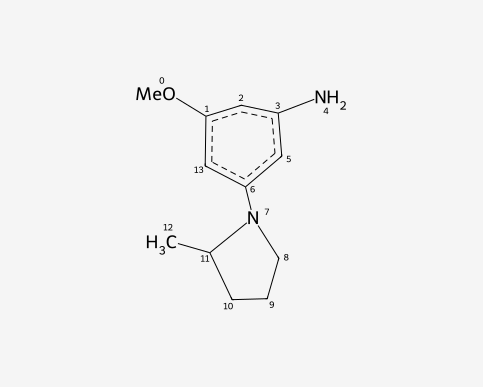 COc1cc(N)cc(N2CCCC2C)c1